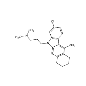 CN(C)CCCn1c2cc(Cl)ccc2c2c(N)c3c(nc21)CCCC3